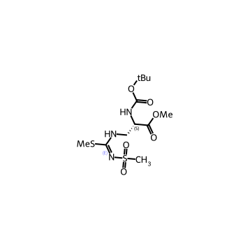 COC(=O)[C@H](CN/C(=N\S(C)(=O)=O)SC)NC(=O)OC(C)(C)C